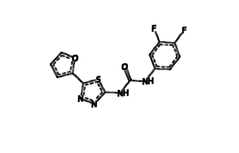 O=C(Nc1ccc(F)c(F)c1)Nc1nnc(-c2ccco2)s1